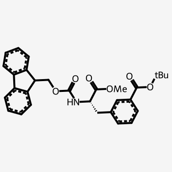 COC(=O)[C@H](Cc1cccc(C(=O)OC(C)(C)C)c1)NC(=O)OCC1c2ccccc2-c2ccccc21